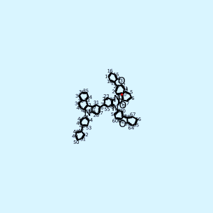 O=P1(c2ccccc2)N(c2ccc3oc4ccccc4c3c2)c2ccc(-c3ccc4c(c3)c3c5ccccc5ccc3n4-c3ccc(-c4ccccc4)cc3)cc2N1c1ccc2oc3ccccc3c2c1